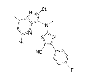 CCn1nc2c(C)cc(Br)nc2c1N(C)c1nc(-c2ccc(F)cc2)c(C#N)s1